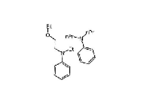 CCCN(CCC)c1ccccc1.CCOCCN(CC)c1ccccc1